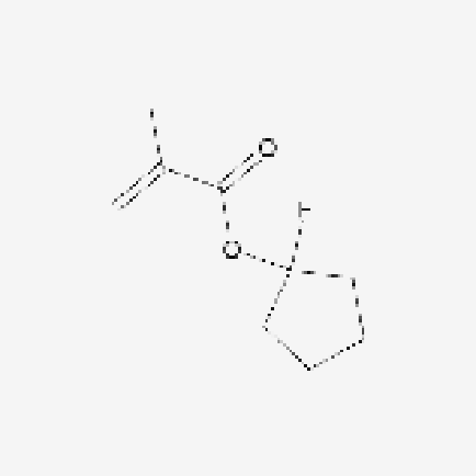 C=C(C)C(=O)OC1(F)CCCC1